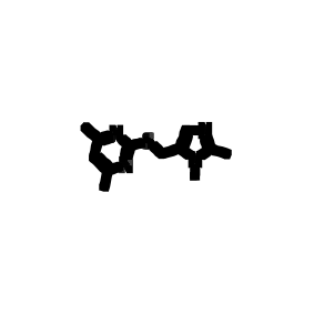 Cc1cc(C)nc(SCc2cnc(C)n2C)n1